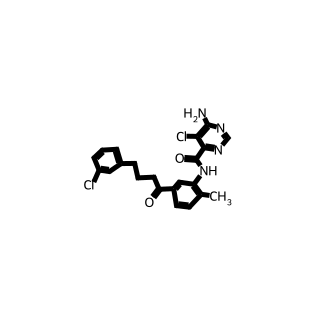 Cc1ccc(C(=O)CCCc2cccc(Cl)c2)cc1NC(=O)c1ncnc(N)c1Cl